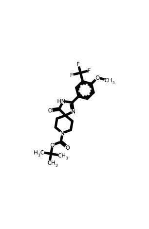 COc1ccc(C2=NC3(CCN(C(=O)OC(C)(C)C)CC3)C(=O)N2)cc1C(F)(F)F